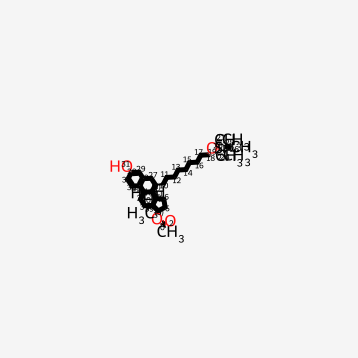 CC(=O)O[C@H]1CC[C@H]2[C@@H]3[C@H](CCCCCCCCCO[Si](C)(C)C(C)(C)C)Cc4cc(O)ccc4[C@H]3CC[C@]12C